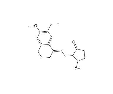 CCc1cc2c(cc1OC)CCCC2=CCC1C(=O)CCC1O